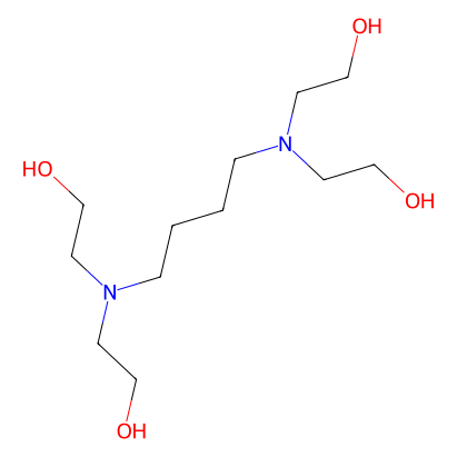 OCCN(CCO)CCCCN(CCO)CCO